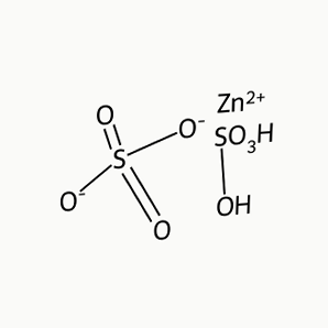 O=S(=O)(O)O.O=S(=O)([O-])[O-].[Zn+2]